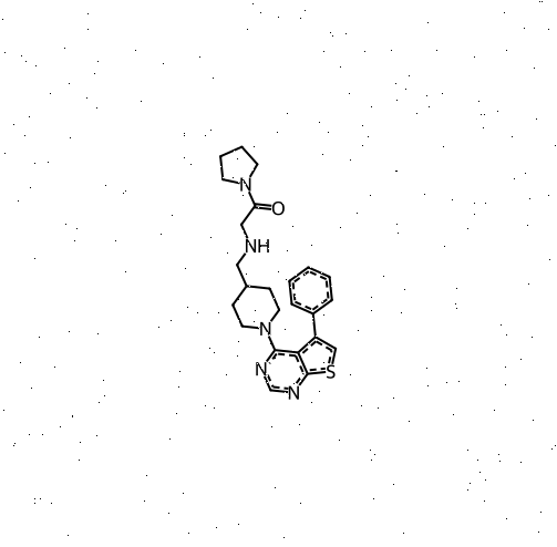 O=C(CNCC1CCN(c2ncnc3scc(-c4ccccc4)c23)CC1)N1CCCC1